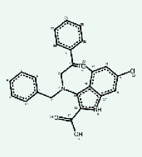 O=C(CN(Cc1ccccc1)c1c(C(=O)O)[nH]c2cc(Cl)cc(Cl)c12)c1ccccc1